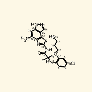 CC(C)(Nc1ccc(Cl)cc1OCCCS)C(=O)Nc1nc2c(C(F)(F)F)cc3[nH]ncc3c2s1